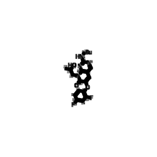 CCC(C)Nc1ncc2cc(Oc3ccc(F)cc3F)c(=O)n(CC(C)O)c2n1